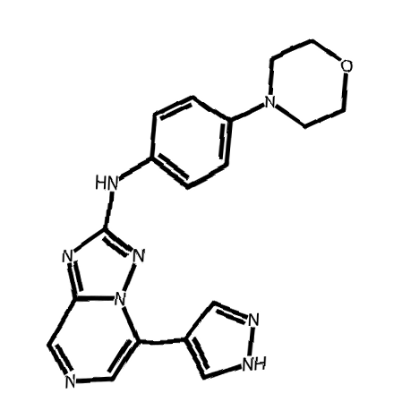 c1cc(N2CCOCC2)ccc1Nc1nc2cncc(-c3cn[nH]c3)n2n1